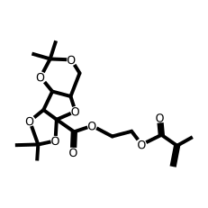 C=C(C)C(=O)OCCOC(=O)C12OC3COC(C)(C)OC3C1OC(C)(C)O2